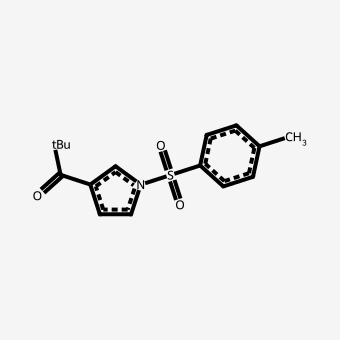 Cc1ccc(S(=O)(=O)n2ccc(C(=O)C(C)(C)C)c2)cc1